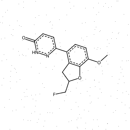 COc1ccc(-c2ccc(=O)[nH]n2)c2c1OC(CF)C2